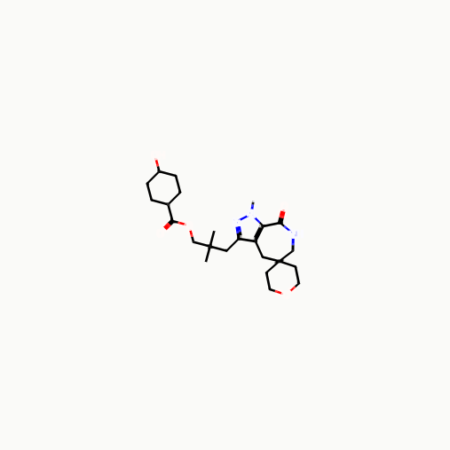 CCn1nc(CC(C)(C)COC(=O)C2CCC(O)CC2)c2c1C(=O)NCC1(CCOCC1)C2